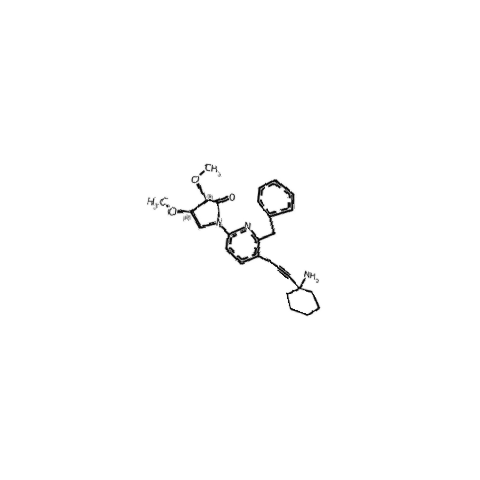 CO[C@@H]1CN(c2ccc(C#CC3(N)CCCCC3)c(Cc3ccccc3)n2)C(=O)[C@@H]1OC